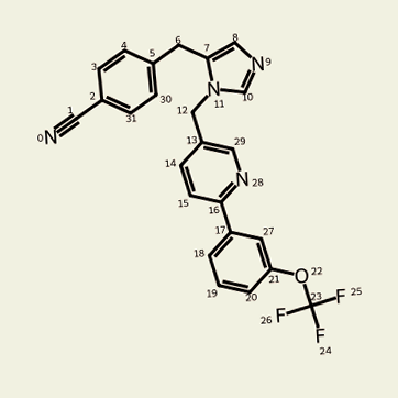 N#Cc1ccc(Cc2cncn2Cc2ccc(-c3cccc(OC(F)(F)F)c3)nc2)cc1